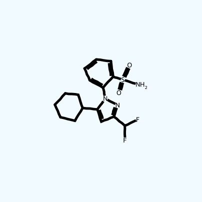 NS(=O)(=O)c1ccccc1-n1nc(C(F)F)cc1C1CCCCC1